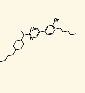 CCCCCc1ccc(-c2cnc(C(C)C3CCC(CCCCC)CC3)nc2)cc1Br